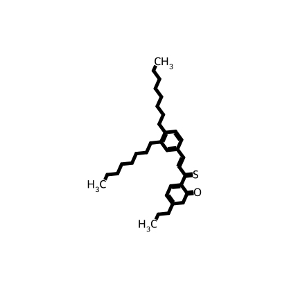 CCCCCCCCc1ccc(C=CC(=S)C2=CC=C(CCC)CC2=O)cc1CCCCCCCC